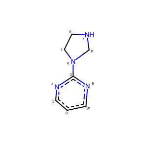 c1cnc(N2CCNC2)nc1